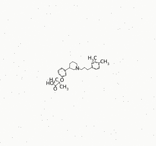 Cc1ccc(CCCN2CCCC(c3cccc(OC(C)(C)C(=O)O)c3)C2)cc1C